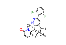 Cn1c([C@@]23CC[C@@H](c4cc(-c5c(F)cccc5F)nnc42)C3(C)C)cccc1=O